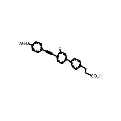 COc1ccc(C#Cc2ccc(-c3ccc(CCC(=O)O)cc3)cc2F)cc1